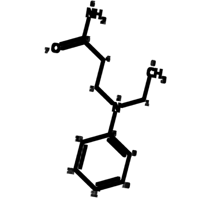 CCN(CCC(N)=O)c1cc[c]cc1